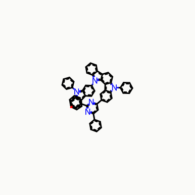 c1ccc(-c2cc(-c3ccc4c(c3)c3c(ccc5c6ccccc6n(-c6ccc7c8ccccc8n(-c8ccccc8)c7c6)c53)n4-c3ccccc3)nc(-c3ccccc3)n2)cc1